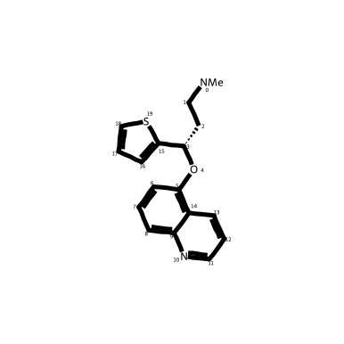 CNCC[C@H](Oc1cccc2ncccc12)c1cccs1